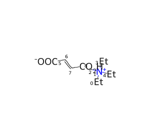 CC[N+](C)(CC)CC.O=C([O-])C=CC(=O)O